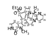 CCS(=O)(=O)c1cc(-c2cn(C)c3c(=O)[nH]ccc23)cc2c1ccn2C(C)(c1ccccn1)c1ccccn1